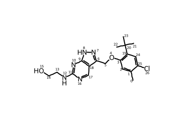 Cc1cc(OCc2n[nH]c3nc(NCCO)ncc23)c(C(C)(C)C)cc1Cl